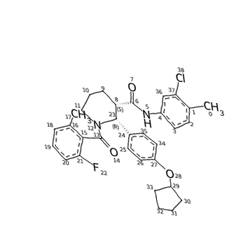 Cc1ccc(NC(=O)[C@H]2CCCN(C(=O)c3c(C)cccc3F)[C@H]2c2ccc(OC3CCCC3)cc2)cc1Cl